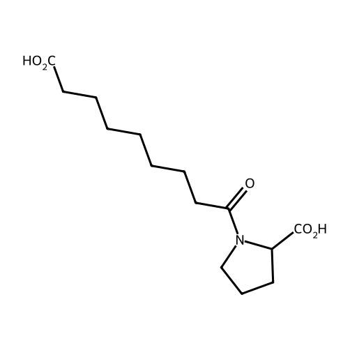 O=C(O)CCCCCCCC(=O)N1CCCC1C(=O)O